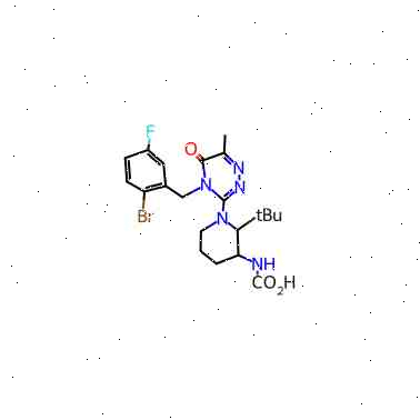 Cc1nnc(N2CCCC(NC(=O)O)C2C(C)(C)C)n(Cc2cc(F)ccc2Br)c1=O